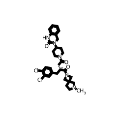 CN1CCC2(C1)CN(C(=O)[C@@H](CC(=O)N1CCC(N3Cc4ccccc4NC3=O)CC1)Cc1ccc(Cl)c(Cl)c1)C2